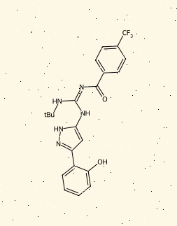 CC(C)(C)N/C(=N/C(=O)c1ccc(C(F)(F)F)cc1)Nc1cc(-c2ccccc2O)n[nH]1